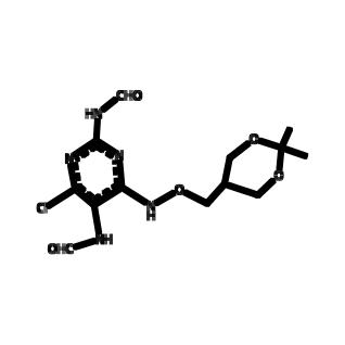 CC1(C)OCC(CONc2nc(NC=O)nc(Cl)c2NC=O)CO1